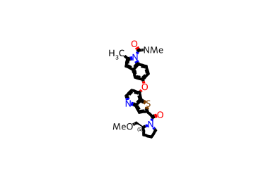 CNC(=O)n1c(C)cc2cc(Oc3ccnc4cc(C(=O)N5CCC[C@H]5COC)sc34)ccc21